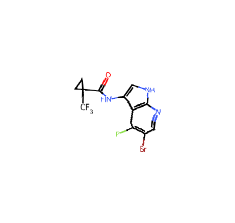 O=C(Nc1c[nH]c2ncc(Br)c(F)c12)C1(C(F)(F)F)CC1